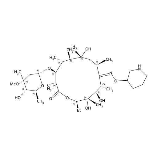 CC[C@H]1OC(=O)[C@H](C)[C@@H](O[C@H]2C[C@@](C)(OC)[C@@H](O)[C@H](C)O2)[C@H](C)[C@@H](C)[C@](C)(O)C[C@@H](C)C(=NOC2CCCNC2)[C@H](C)[C@@H](O)[C@]1(C)O